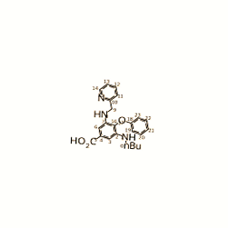 CCCCNc1cc(C(=O)O)cc(NCc2ccccn2)c1Oc1ccccc1